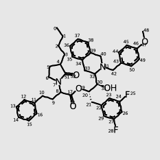 CCCCC1CCN(C(CCc2ccccc2)C(=O)O[C@@H](Cc2cc(F)cc(F)c2)[C@H](O)C2Cc3ccccc3CN2Cc2ccc(OC)cc2)C1=O